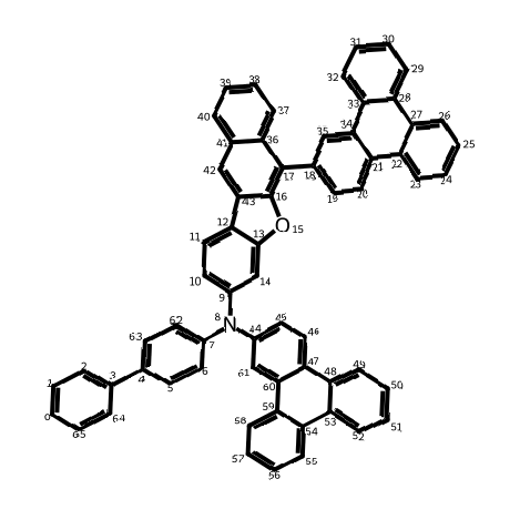 c1ccc(-c2ccc(N(c3ccc4c(c3)oc3c(-c5ccc6c7ccccc7c7ccccc7c6c5)c5ccccc5cc34)c3ccc4c5ccccc5c5ccccc5c4c3)cc2)cc1